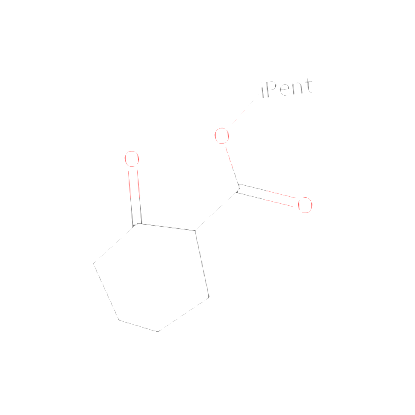 CCCC(C)OC(=O)C1CCCCC1=O